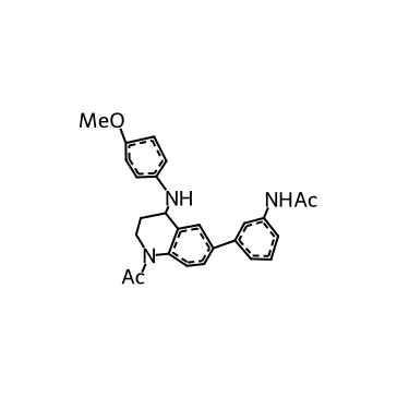 COc1ccc(NC2CCN(C(C)=O)c3ccc(-c4cccc(NC(C)=O)c4)cc32)cc1